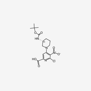 CC(C)(C)OC(=O)N[C@@H]1CCCN(c2cc(C(=O)O)nc(Cl)c2[N+](=O)[O-])C1